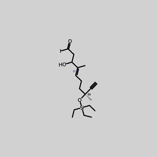 C#C[C@](C)(CC/C=C(\C)C(O)CC(=O)I)O[Si](CC)(CC)CC